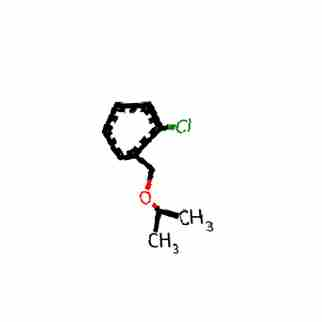 C[C](C)OCc1ccccc1Cl